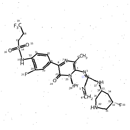 C=N/C(=N\c1c(C)nc(-c2ccc(NS(=O)(=O)CCC(F)(F)F)c(F)c2)c(=O)n1C(C)C)N[C@@H]1CNC[C@@H](F)C1